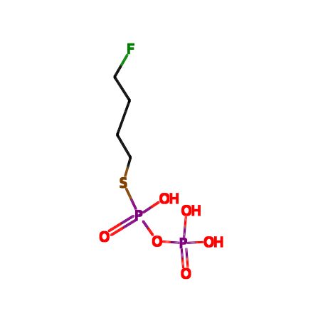 O=P(O)(O)OP(=O)(O)SCCCCF